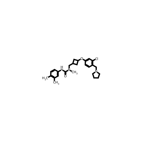 Cc1ccc(NC(=O)N(C)CC2CC(Oc3ccc(CN4CCCC4)c(Cl)c3)C2)cc1C